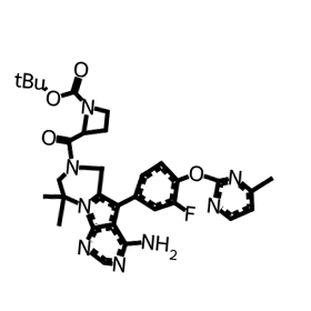 Cc1ccnc(Oc2ccc(-c3c4n(c5ncnc(N)c35)C(C)(C)CN(C(=O)C3CCN3C(=O)OC(C)(C)C)C4)cc2F)n1